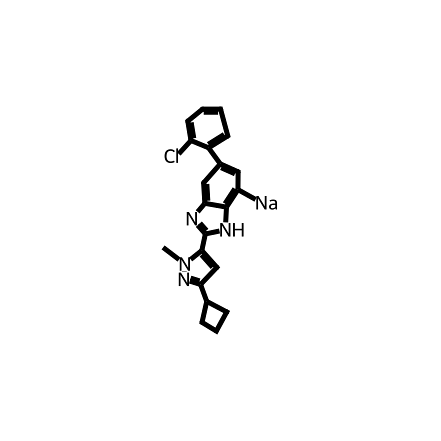 Cn1nc(C2CCC2)cc1-c1nc2cc(-c3ccccc3Cl)c[c]([Na])c2[nH]1